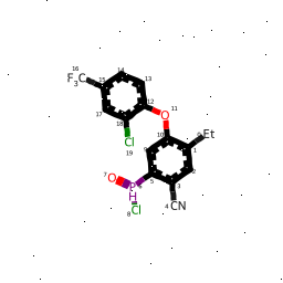 CCc1cc(C#N)c([PH](=O)Cl)cc1Oc1ccc(C(F)(F)F)cc1Cl